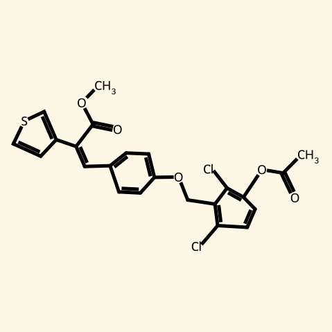 COC(=O)C(=Cc1ccc(OCc2c(Cl)ccc(OC(C)=O)c2Cl)cc1)c1ccsc1